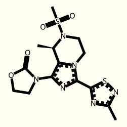 Cc1nsc(-c2nc(N3CCOC3=O)c3n2CCN(S(C)(=O)=O)[C@@H]3C)n1